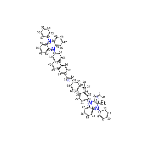 C/C=C\C1=C(CC)N(C2C=CC=CC2)c2ccccc2N1c1ccc2c(c1)C(C)(C)c1cc(/C=C/c3ccc4c(ccc5cc(N6c7ccccc7N(c7ccccc7)c7ccccc76)ccc54)c3)ccc1-2